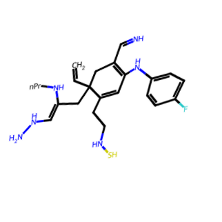 C=CC1(C/C(=C/NN)NCCC)CC(C=N)=C(Nc2ccc(F)cc2)C=C1CCNS